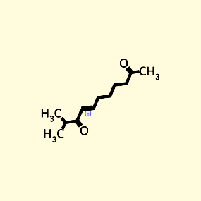 CC(=O)CCCC/C=C/C(=O)C(C)C